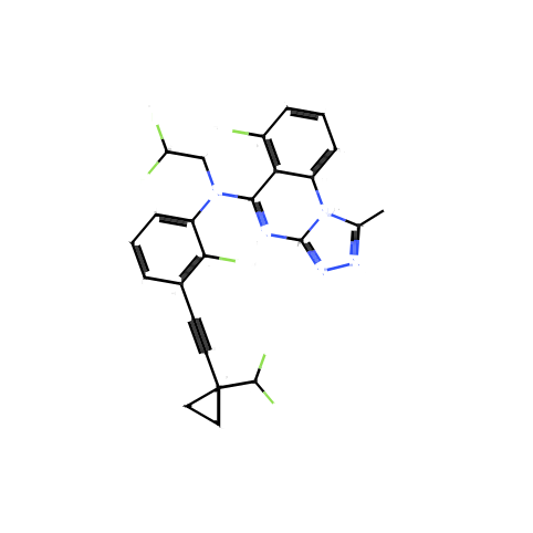 Cc1nnc2nc(N(CC(F)F)c3cccc(C#CC4(C(F)F)CC4)c3F)c3c(F)cccc3n12